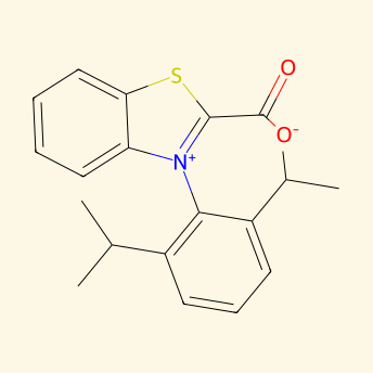 CC(C)c1cccc(C(C)C)c1-[n+]1c(C(=O)[O-])sc2ccccc21